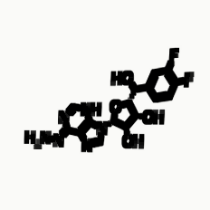 NN=c1nc[nH]c2c1ncn2[C@@H]1O[C@H](C(O)c2ccc(F)c(F)c2)[C@@H](O)[C@H]1O